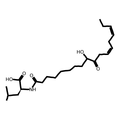 CC/C=C\C/C=C\CC(=O)C(O)CCCCCCCC(=O)N[C@@H](CC(C)C)C(=O)O